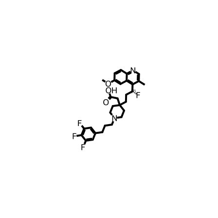 COc1ccc2ncc(C)c([C@H](F)CCC3(CC(=O)O)CCN(CCCc4cc(F)c(F)c(F)c4)CC3)c2c1